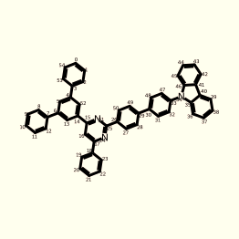 c1ccc(-c2cc(-c3ccccc3)cc(-c3cc(-c4ccccc4)nc(-c4ccc(-c5ccc(-n6c7ccccc7c7ccccc76)cc5)cc4)n3)c2)cc1